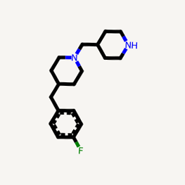 Fc1ccc(CC2CCN(CC3CCNCC3)CC2)cc1